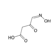 O=C(O)CC(=O)/C=N\O